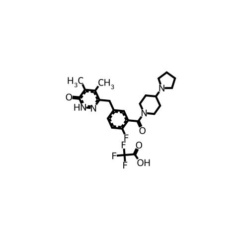 Cc1c(Cc2ccc(F)c(C(=O)N3CCC(N4CCCC4)CC3)c2)n[nH]c(=O)c1C.O=C(O)C(F)(F)F